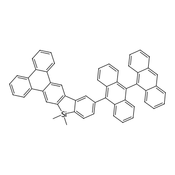 C[Si]1(C)c2ccc(-c3c4ccccc4c(-c4c5ccccc5cc5ccccc45)c4ccccc34)cc2-c2cc3c4ccccc4c4ccccc4c3cc21